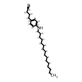 CCCCCCCCCCCCCCCCNc1ccc(CCCC#N)cc1